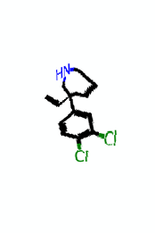 C=C[C@]1(c2ccc(Cl)c(Cl)c2)CCCNC1